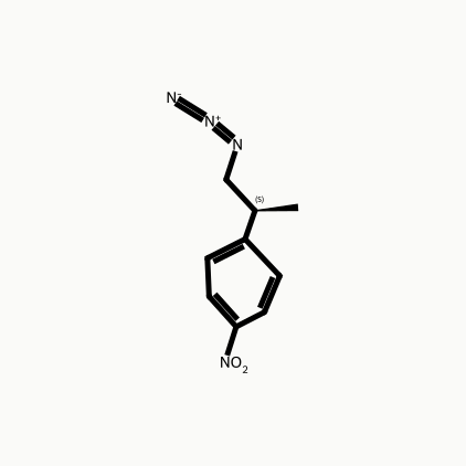 C[C@H](CN=[N+]=[N-])c1ccc([N+](=O)[O-])cc1